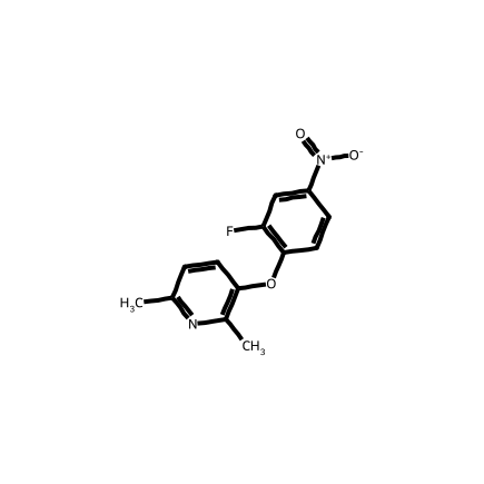 Cc1ccc(Oc2ccc([N+](=O)[O-])cc2F)c(C)n1